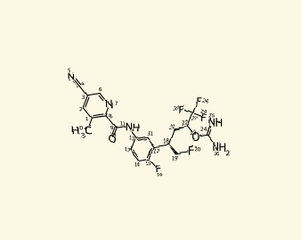 Cc1cc(C#N)cnc1C(=O)Nc1ccc(F)c([C@H](CF)C[C@H](OC(=N)N)C(F)(F)F)c1